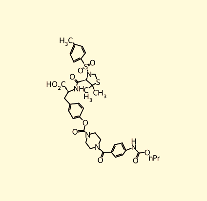 CCCOC(=O)Nc1ccc(C(=O)N2CCN(C(=O)Oc3ccc(C[C@H](NC(=O)[C@H]4N(S(=O)(=O)c5ccc(C)cc5)CSC4(C)C)C(=O)O)cc3)CC2)cc1